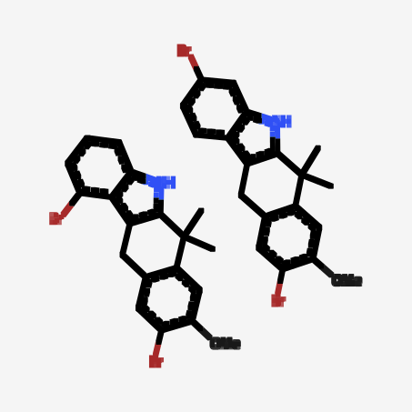 COc1cc2c(cc1Br)Cc1c([nH]c3cc(Br)ccc13)C2(C)C.COc1cc2c(cc1Br)Cc1c([nH]c3cccc(Br)c13)C2(C)C